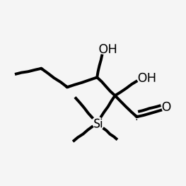 CCCC(O)C(O)([C]=O)[Si](C)(C)C